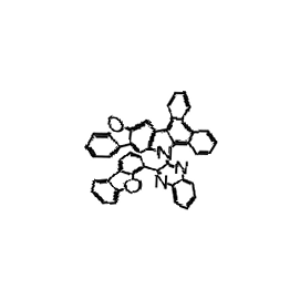 c1ccc2nc(-n3c4cc5c(cc4c4c6ccccc6c6ccccc6c43)oc3ccccc35)c(-c3cccc4c3oc3ccccc34)nc2c1